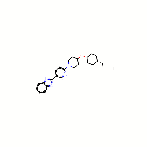 O=C(O)C[C@H]1CC[C@@H](OC2CCN(c3ccc(-c4nc5ccccc5[nH]4)cn3)CC2)CC1